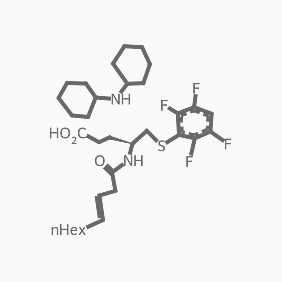 C1CCC(NC2CCCCC2)CC1.CCCCCCC=CCC(=O)N[C@@H](CCC(=O)O)CSc1c(F)c(F)cc(F)c1F